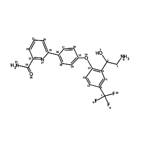 NCC(O)c1cc(C(F)(F)F)ccc1Oc1ccc(-c2cccc(C(N)=O)n2)cc1